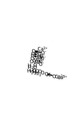 O.O.O.O.O.O.[Ca+2].[Ca+2].[Ca+2].[O]=[Al][O-].[O]=[Al][O-].[O]=[Al][O-].[O]=[Al][O-].[O]=[Al][O-].[O]=[Al][O-]